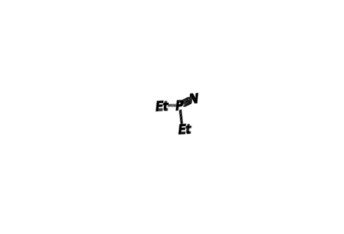 CCP(#N)CC